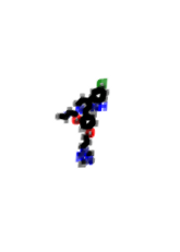 C/C=C/C(=O)N1CCc2c([nH]c3ccc(Cl)cc23)C1c1ccc(OCCCn2cncn2)cc1